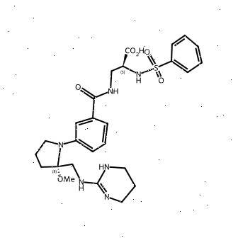 CO[C@]1(CNC2=NCCCN2)CCCN1c1cccc(C(=O)NC[C@H](NS(=O)(=O)c2ccccc2)C(=O)O)c1